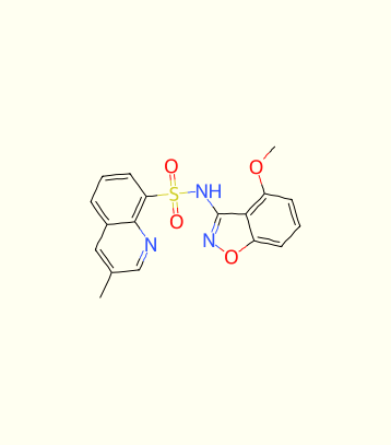 COc1cccc2onc(NS(=O)(=O)c3cccc4cc(C)cnc34)c12